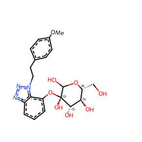 COc1ccc(CCn2nnc3cccc(O[C@]4(O)C(O)O[C@H](CO)[C@@H](O)[C@@H]4O)c32)cc1